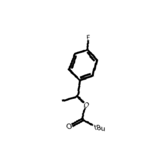 CC(OC(=O)C(C)(C)C)c1ccc(F)cc1